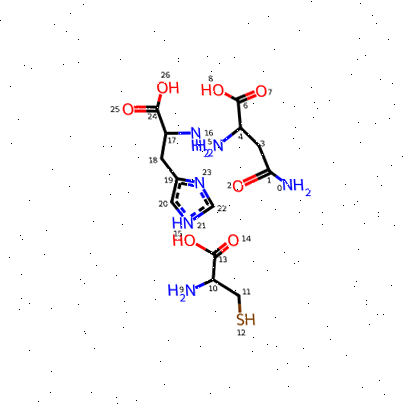 NC(=O)CC(N)C(=O)O.NC(CS)C(=O)O.NC(Cc1c[nH]cn1)C(=O)O